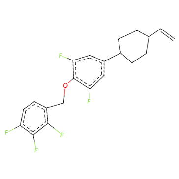 C=CC1CCC(c2cc(F)c(OCc3ccc(F)c(F)c3F)c(F)c2)CC1